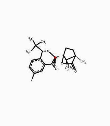 CC(C)(C)[C@H](OC(=O)[C@@]12CC[C@@](C)(C(=O)O1)C2(C)C)c1ccc(I)cc1[N+](=O)[O-]